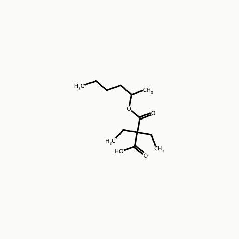 CCCCC(C)OC(=O)C(CC)(CC)C(=O)O